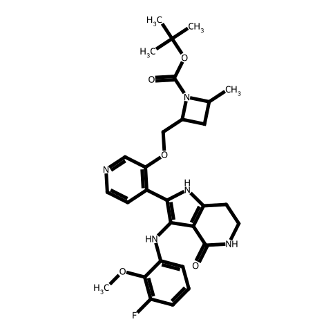 COc1c(F)cccc1Nc1c(-c2ccncc2OCC2CC(C)N2C(=O)OC(C)(C)C)[nH]c2c1C(=O)NCC2